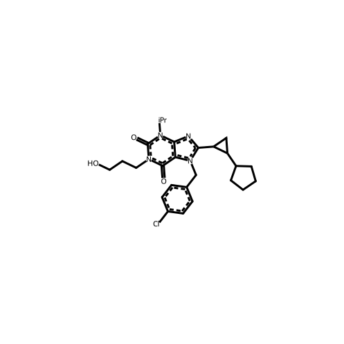 CC(C)n1c(=O)n(CCCO)c(=O)c2c1nc(C1CC1C1CCCC1)n2Cc1ccc(Cl)cc1